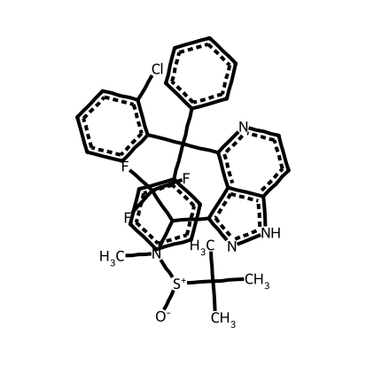 CN(C(c1n[nH]c2ccnc(C(c3ccccc3)(c3ccccc3)c3ccccc3Cl)c12)C(F)(F)F)[S+]([O-])C(C)(C)C